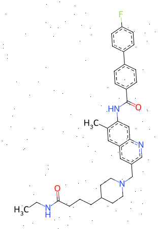 CCNC(=O)CCCC1CCN(Cc2cnc3cc(NC(=O)c4ccc(-c5ccc(F)cc5)cc4)c(C)cc3c2)CC1